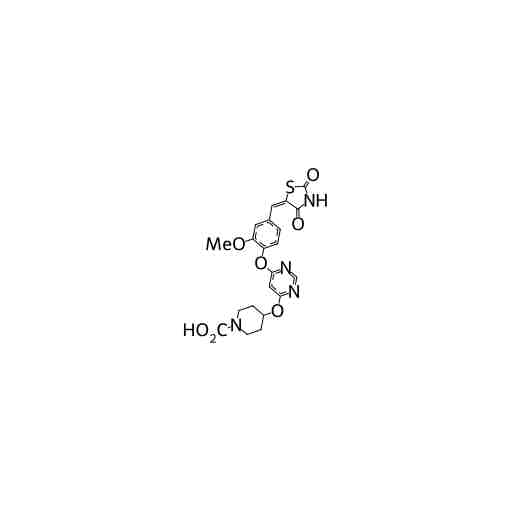 COc1cc(C=C2SC(=O)NC2=O)ccc1Oc1cc(OC2CCN(C(=O)O)CC2)ncn1